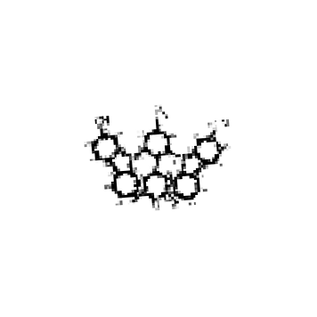 Cc1cc(-c2c(-n3c4ccccc4c4ccc(C#N)cc43)cc(C#N)cc2-n2c3ccccc3c3ccc(C#N)cc32)nc(C)n1